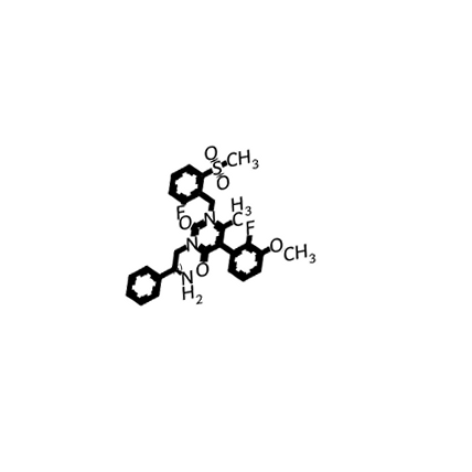 COc1cccc(-c2c(C)n(Cc3c(F)cccc3S(C)(=O)=O)c(=O)n(C[C@@H](N)c3ccccc3)c2=O)c1F